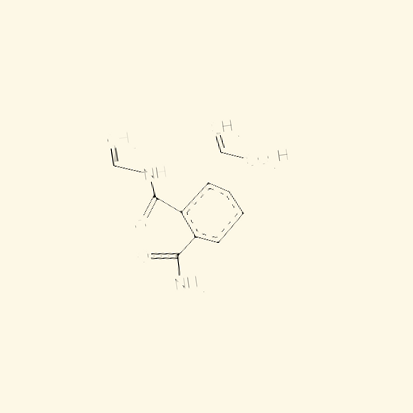 C=CC(=O)O.C=CNC(=O)c1ccccc1C(N)=O